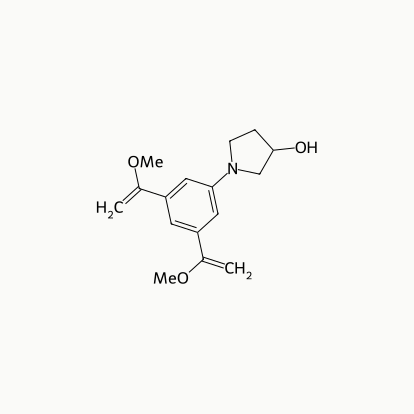 C=C(OC)c1cc(C(=C)OC)cc(N2CCC(O)C2)c1